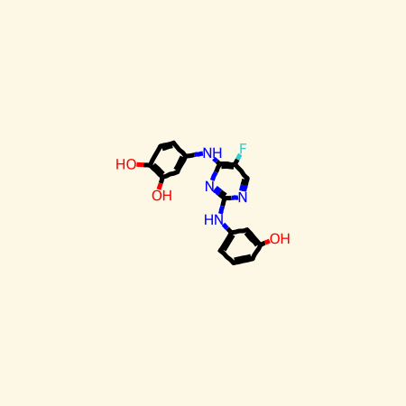 Oc1cccc(Nc2ncc(F)c(Nc3ccc(O)c(O)c3)n2)c1